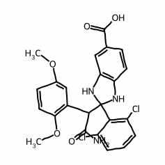 COc1ccc(OC)c(C(C(N)=O)C2(c3c(Cl)cccc3Cl)Nc3ccc(C(=O)O)cc3N2)c1